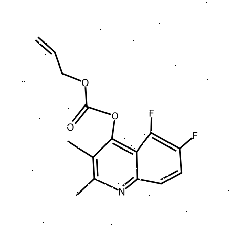 C=CCOC(=O)Oc1c(C)c(C)nc2ccc(F)c(F)c12